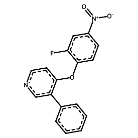 O=[N+]([O-])c1ccc(Oc2ccncc2-c2ccccc2)c(F)c1